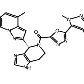 Cc1cnn(C)c1-c1nnc(C(=O)N2CCc3[nH]cnc3[C@@H]2c2cc3c(C)cccn3n2)o1